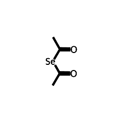 CC(=O)[Se]C(C)=O